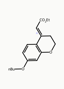 CCCCOc1ccc2c(c1)OCC/C2=C\C(=O)OCC